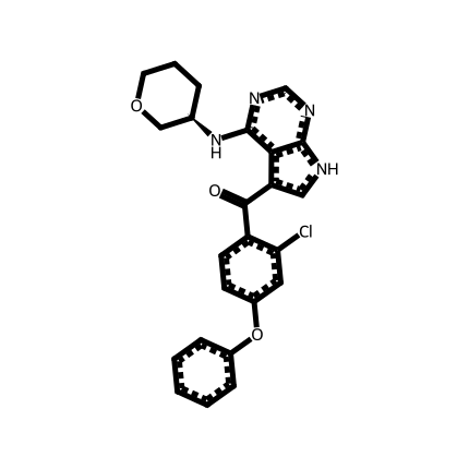 O=C(c1ccc(Oc2ccccc2)cc1Cl)c1c[nH]c2ncnc(N[C@@H]3CCCOC3)c12